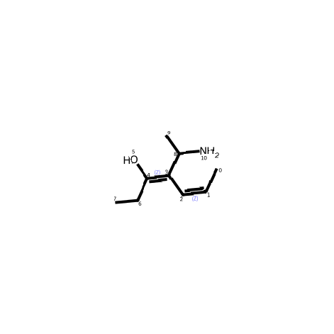 C/C=C\C(=C(\O)CC)C(C)N